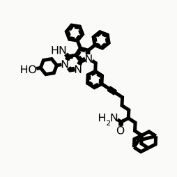 N=c1c2c(-c3ccccc3)c(-c3ccccc3)n(Cc3cccc(C#CCCCC(CCC45CC6CC(CC(C6)C4)C5)C(N)=O)c3)c2ncn1C1CCC(O)CC1